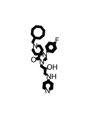 O=C1N(C[C@H](O)CNc2ccncc2)CN(c2ccc(F)cc2)C12CCN(CC1CCCCCCC1)CC2